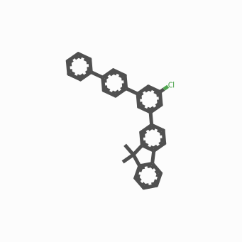 CC1(C)c2ccccc2-c2ccc(-c3cc(Cl)cc(-c4ccc(-c5ccccc5)cc4)c3)cc21